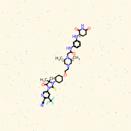 C[C@@H]1CN(CCO[C@H]2CC[C@H](N3C(=S)N(c4cnc(C#N)c(C(F)(F)F)c4)C(=O)C3(C)C)CC2)C[C@H](C)N1CC(=O)Nc1cccc(N[C@@H]2CCC(=O)NC2=O)c1